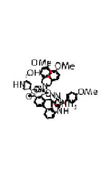 COc1ccc(CN(Cc2ccc(OC)cc2)S(=O)(=O)c2c(S(=O)(=O)[C@H]3CN[C@H](CO)C3)ccc(-c3cccc4[nH]c(N)nc34)c2-c2nnn(Cc3ccc(OC)cc3)n2)cc1